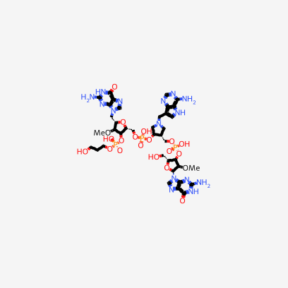 COC1C(OP(=O)(O)OCCCO)[C@@H](COP(=O)(O)OC2CN(Cc3c[nH]c4c(N)ncnc34)C[C@@H]2COP(=O)(O)OC2C(OC)[C@H](n3cnc4c(=O)[nH]c(N)nc43)O[C@@H]2CO)O[C@H]1Cn1cnc2c(=O)[nH]c(N)nc21